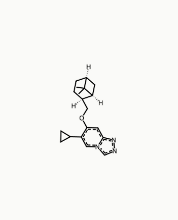 CC1(C)[C@H]2CC[C@H](COc3cc4nncn4cc3C3CC3)[C@@H]1C2